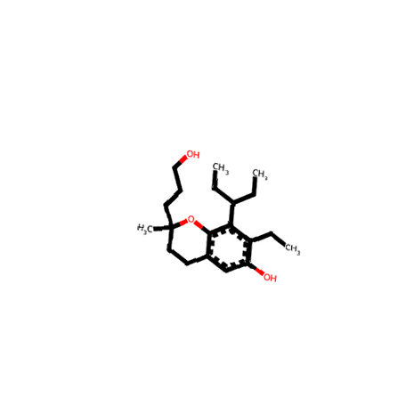 CCc1c(O)cc2c(c1C(CC)CC)OC(C)(CCCO)CC2